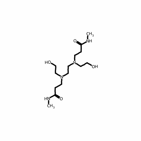 CNC(=O)CCN(CCO)CCN(CCO)CCC(=O)NC